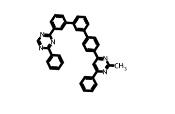 Cc1nc(-c2ccccc2)cc(-c2ccc(-c3cccc(-c4cccc(-c5ncnc(-c6ccccc6)n5)c4)c3)cc2)n1